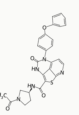 CC(=O)N1CC[C@H](NC(=O)c2sc3nccc4c3c2NC(=O)N4c2ccc(Oc3ccccc3)cc2)C1